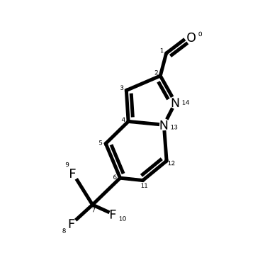 O=Cc1cc2cc(C(F)(F)F)ccn2n1